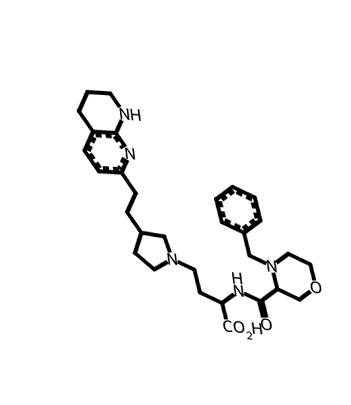 O=C(O)C(CCN1CCC(CCc2ccc3c(n2)NCCC3)C1)NC(=O)C1COCCN1Cc1ccccc1